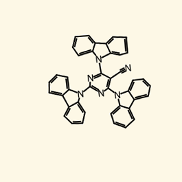 N#Cc1c(-n2c3ccccc3c3ccccc32)nc(-n2c3ccccc3c3ccccc32)nc1-n1c2ccccc2c2ccccc21